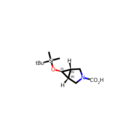 CC(C)(C)[Si](C)(C)O[C@H]1[C@@H]2CN(C(=O)O)C[C@@H]21